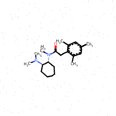 Cc1cc(C)c(CC(=O)N(C)[C@@H]2CCCC[C@H]2N(C)C)c(C)c1